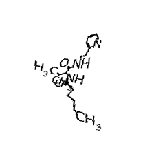 CCCCCC(=O)NC(C(=O)NCCc1ccccn1)C(C)C